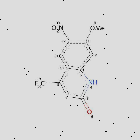 COc1cc2[nH]c(=O)cc(C(F)(F)F)c2cc1[N+](=O)[O-]